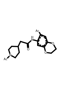 CC(=O)c1cc2c(cc1NC(=O)CC1CCN(C(C)=O)CC1)OCCO2